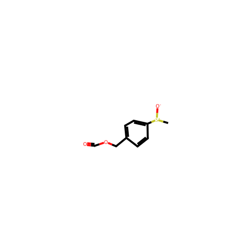 C[S+]([O-])c1ccc(CO[C]=O)cc1